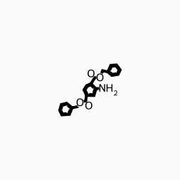 Nc1cc(C(=O)OCc2ccccc2)ccc1C(=O)OCc1ccccc1